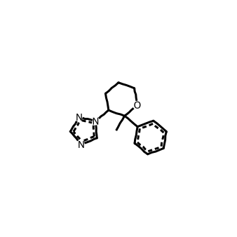 CC1(c2ccccc2)OCCCC1n1cncn1